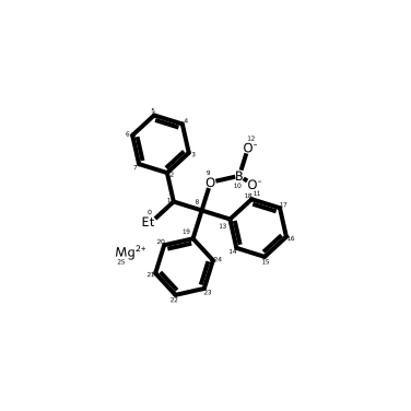 CCC(c1ccccc1)C(OB([O-])[O-])(c1ccccc1)c1ccccc1.[Mg+2]